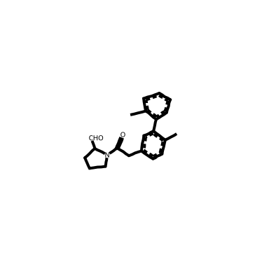 Cc1ccccc1-c1cc(CC(=O)N2CCCC2C=O)ccc1C